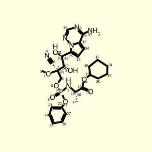 CO[C@](C#N)(COP(=O)(N[C@@H](C)C(=O)OC1CCCCC1)Oc1ccccc1)[C@@H](O)[C@@H](O)c1ccc2c(N)ncnn12